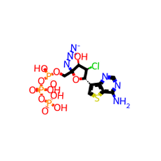 [N-]=[N+]=NC1(COP(=O)(O)OP(=O)(O)OP(=O)(O)O)O[C@@H](c2csc3c(N)ncnc23)[C@H](Cl)[C@@H]1O